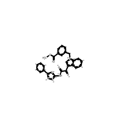 COC(=O)c1cccc(Cn2cc(C(=O)C(=O)Nc3nnc(-c4ccccc4)s3)c3ccccc32)c1